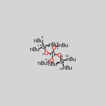 CCCC[O][Ti]([O]CCCC)([O][Si](CCCC)(CCCC)CCCC)[O][Si](CCCC)(CCCC)CCCC